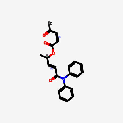 CCC(=O)/C=C\C(=O)O[C@H](C)/C=C/C(=O)N(c1ccccc1)c1ccccc1